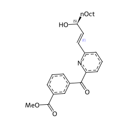 CCCCCCCC[C@H](O)/C=C/c1cccc(C(=O)c2cccc(C(=O)OC)c2)n1